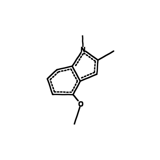 COc1cccc2c1cc(C)n2C